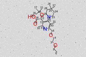 CCOCCOCc1nc(C)c(C(OC(C)(C)C)C(=O)O)c(N2CCC(C)(C)CC2)c1C